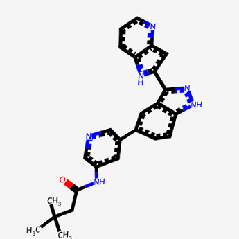 CC(C)(C)CC(=O)Nc1cncc(-c2ccc3[nH]nc(-c4cc5ncccc5[nH]4)c3c2)c1